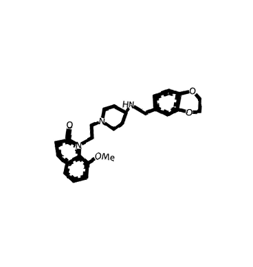 COc1cccc2ccc(=O)n(CCN3CCC(NCc4ccc5c(c4)OCCO5)CC3)c12